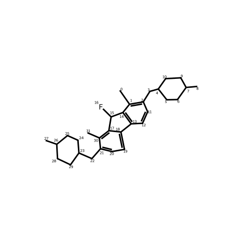 Cc1c(CC2CCC(C)CC2)ccc2c1C(F)c1c-2ccc(CC2CCC(C)CC2)c1C